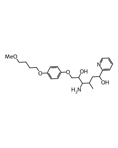 COCCCCOc1ccc(OCC(O)C(N)C(C)CC(O)c2ccccn2)cc1